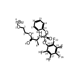 CCCCOCCOC(=O)[C@H](C)NP(=O)(Oc1ccccc1)Oc1c(F)c(F)c(F)c(F)c1F